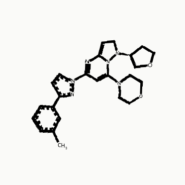 Cc1cccc(-c2ccn(C3=NC4=CCN([C@H]5CCOC5)N4C(N4CCOCC4)=C3)n2)c1